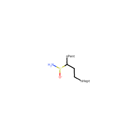 CCCCCCCCCC(CCCCC)[S+](N)[O-]